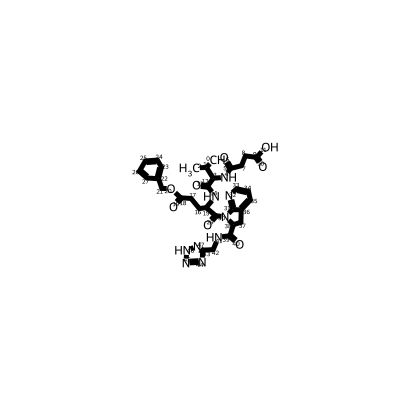 CC(C)C(NC(=O)CCC(=O)O)C(=O)NC(CCC(=O)OCc1ccccc1)C(=O)N1c2ncccc2CC1C(=O)NCc1nn[nH]n1